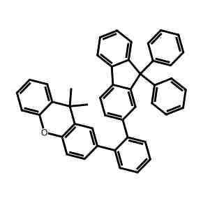 CC1(C)c2ccccc2Oc2ccc(-c3ccccc3-c3ccc4c(c3)C(c3ccccc3)(c3ccccc3)c3ccccc3-4)cc21